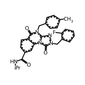 Cc1ccc(Cn2c(=O)c3ccc(C(=O)NC(C)C)cc3n3c(=O)n(Cc4ccccc4F)nc23)cc1